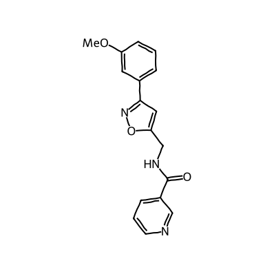 COc1cccc(-c2cc(CNC(=O)c3cccnc3)on2)c1